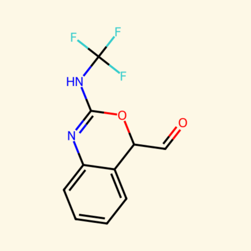 O=CC1OC(NC(F)(F)F)=Nc2ccccc21